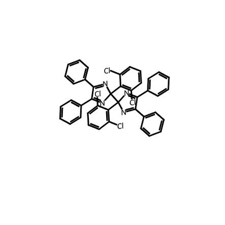 Clc1cccc(Cl)c1C1(C2(c3c(Cl)cccc3Cl)N=C(c3ccccc3)C(c3ccccc3)=N2)N=C(c2ccccc2)C(c2ccccc2)=N1